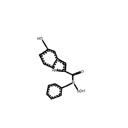 CCCCCCCCN(C(=O)c1cc2cc(O)ccc2[nH]1)c1ccccc1